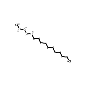 ClCCCCCCCCCCOOOOCl